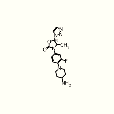 CC1[C@H](n2ccnn2)OC(=O)N1c1ccc(N2CCC(N)CC2)c(F)c1